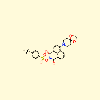 Cc1ccc(S(=O)(=O)ON2C(=O)c3cccc4c(N5CCC6(CC5)OCCO6)ccc(c34)C2=O)cc1